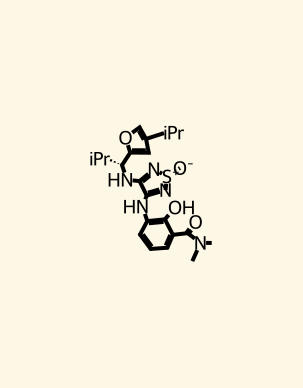 CC(C)c1coc([C@H](Nc2n[s+]([O-])nc2Nc2cccc(C(=O)N(C)C)c2O)C(C)C)c1